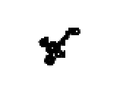 N#Cc1c(-c2ccccc2)cc(-c2cccs2)nc1SCSCCCN=O